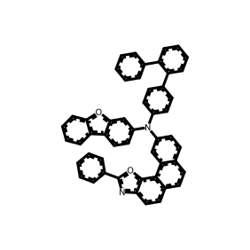 c1ccc(-c2nc3ccc4ccc5ccc(N(c6ccc(-c7ccccc7-c7ccccc7)cc6)c6ccc7c(c6)oc6ccccc67)cc5c4c3o2)cc1